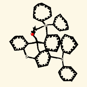 c1ccc(N(c2ccccc2)c2ccc3c(c2)C2(c4ccccc4S3)c3ccccc3[Si](c3ccccc3)(c3ccccc3)c3ccccc32)cc1